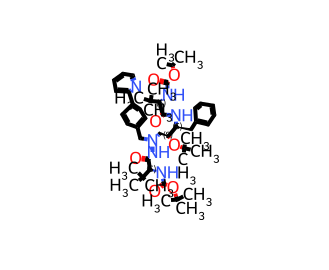 CC(C)OC(=O)N[C@H](C(=O)N[C@@H](Cc1ccccc1)[C@H](CN(Cc1ccc(-c2ccccn2)cc1)NC(=O)[C@@H](NC(=O)OC(C)(C)C)C(C)(C)C)OC(C)(C)C)C(C)(C)C